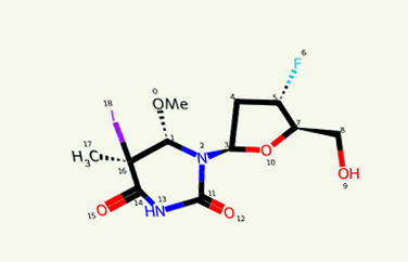 CO[C@@H]1N([C@H]2C[C@H](F)[C@@H](CO)O2)C(=O)NC(=O)[C@@]1(C)I